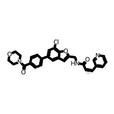 O=C(/C=C\c1cccnc1)NCc1cc2cc(-c3ccc(C(=O)N4CCOCC4)cc3)cc(Cl)c2o1